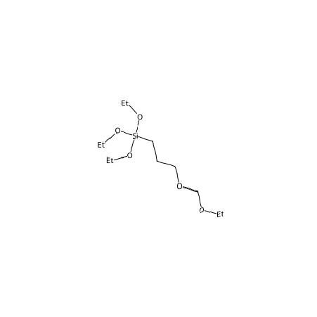 CCOCOCCC[Si](OCC)(OCC)OCC